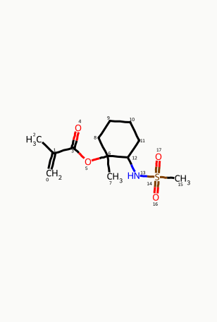 C=C(C)C(=O)OC1(C)CCCCC1NS(C)(=O)=O